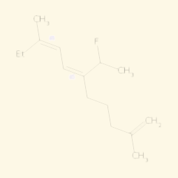 C=C(C)CCC/C(=C/C=C(/C)CC)C(C)F